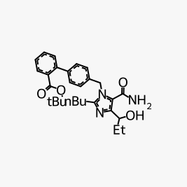 CCCCc1nc(C(O)CC)c(C(N)=O)n1Cc1ccc(-c2ccccc2C(=O)OC(C)(C)C)cc1